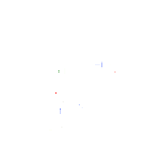 Cl.N[C@@H](CCCCNC(=O)c1cccc(F)c1)C(=O)N1CC(F)(F)C(F)(F)C1